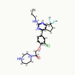 CC(C)CCNc1nc(-c2ccc(OCC(=O)N3CCCNCC3)c(Cl)c2)c2c(n1)C(F)(F)CC2